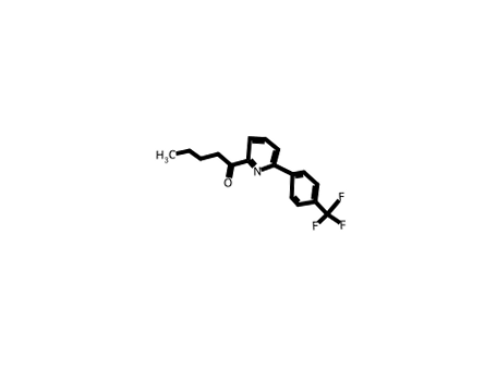 CCCCC(=O)c1cccc(-c2ccc(C(F)(F)F)cc2)n1